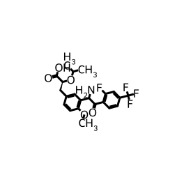 COc1ccc(C[C@H](OC(C)C)C(=O)O)cc1C(N)C(=O)c1ccc(C(F)(F)F)cc1F